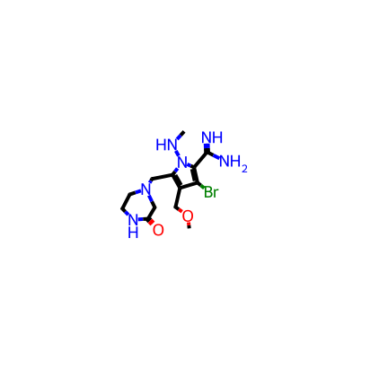 CNn1c(CN2CCNC(=O)C2)c(COC)c(Br)c1C(=N)N